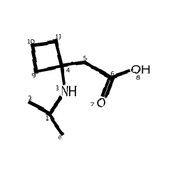 CC(C)NC1(CC(=O)O)CCC1